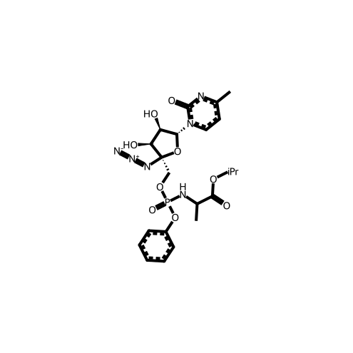 Cc1ccn([C@@H]2O[C@@](COP(=O)(NC(C)C(=O)OC(C)C)Oc3ccccc3)(N=[N+]=[N-])[C@@H](O)[C@H]2O)c(=O)n1